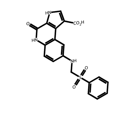 O=C(O)c1c[nH]c2c(=O)[nH]c3ccc(NCS(=O)(=O)c4ccccc4)cc3c12